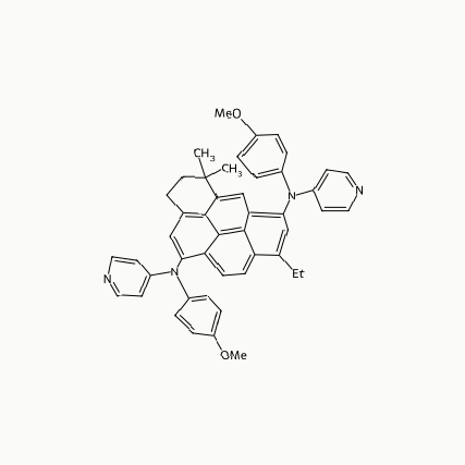 CCc1cc(N(c2ccncc2)c2ccc(OC)cc2)c2cc3c4c(cc(N(c5ccncc5)c5ccc(OC)cc5)c5ccc1c2c54)CCC3(C)C